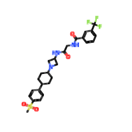 CS(=O)(=O)c1ccc(C2CCC(N3CC(NC(=O)CNC(=O)c4cccc(C(F)(F)F)c4)C3)CC2)cc1